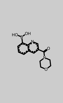 O=C(c1cnc2c(B(O)O)cccc2c1)N1CCOCC1